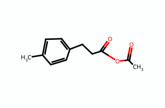 CC(=O)OC(=O)CCc1ccc(C)cc1